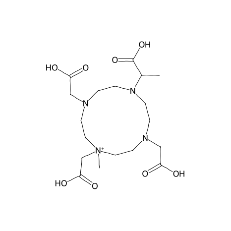 CC(C(=O)O)N1CCN(CC(=O)O)CC[N+](C)(CC(=O)O)CCN(CC(=O)O)CC1